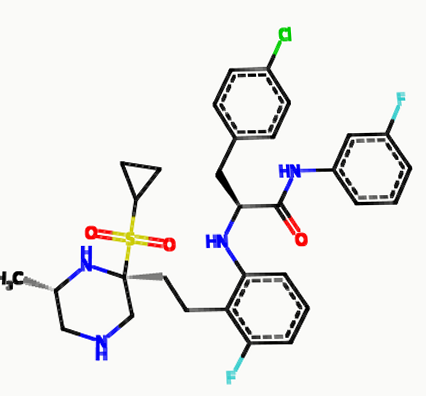 C[C@H]1CNC[C@](CCc2c(F)cccc2N[C@@H](Cc2ccc(Cl)cc2)C(=O)Nc2cccc(F)c2)(S(=O)(=O)C2CC2)N1